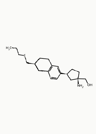 CCCSC[C@H]1CCc2cc([C@H]3CC[C@](N)(CO)C3)ccc2C1